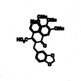 COc1ccc(/C(C(=O)O)=C(/Cc2ccc3c(c2)OCO3)C(=O)c2cc(OC)c(OC)c(OC)c2)cc1